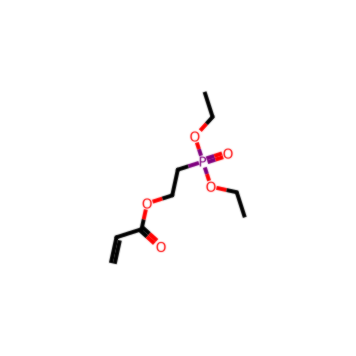 C=CC(=O)OCCP(=O)(OCC)OCC